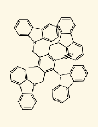 Cc1c(Cn2c3ccccc3c3ccccc32)c(Cn2c3ccccc3c3ccccc32)c(C#N)c(-n2c3ccccc3c3ccccc32)c1Cn1c2ccccc2c2ccccc21